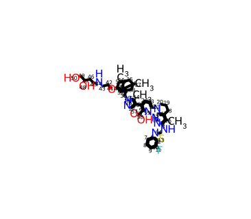 Cc1c(Nc2nc3cccc(F)c3s2)nnc2c1CCCN2c1ccc(-c2cnn(CC34CC5(C)CC(C)(C3)CC(OCCNCCC(O)CO)(C5)C4)c2C)c(C(=O)O)n1